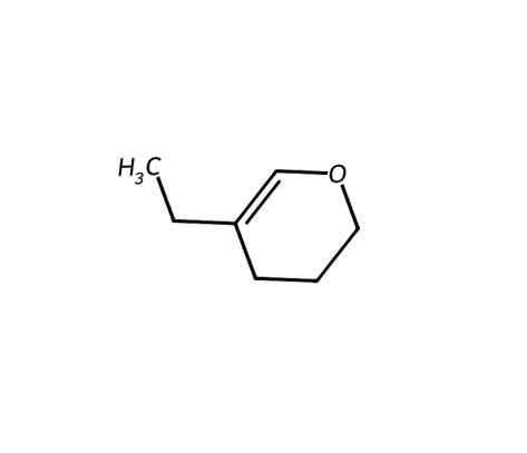 CCC1=COCCC1